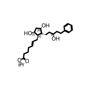 CC(C)OC(=O)CCCC=CC[C@@H]1[C@@H](CC[C@@H](O)CCc2ccccc2)[C@H](O)C[C@@H]1O